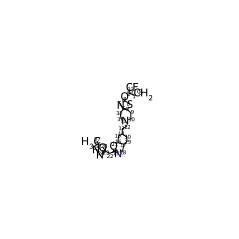 C=C[C@H](Oc1nc2c(s1)CCN(CCC1CCC(/C=N\C(=O)Cc3nnc(C)o3)CC1)CC2)C(F)(F)F